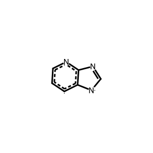 [c]1ccnc2c1[N]C=N2